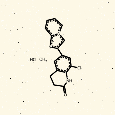 Cl.O.O=C1CCc2cc(-c3cn4ccccc4n3)cc(Cl)c2N1